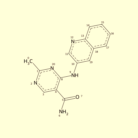 Cc1ncc(C(N)=O)c(Nc2cnc3ccccc3c2)n1